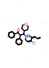 C=C/C=C(Cl)\C(Cl)=C/CNC(C1CCOCC1)C(C(=O)c1ccccc1)c1ccccc1